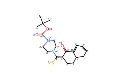 CSC(=C1CCC2CC=CC=C2C1=O)N1CCN(C(=O)OC(C)(C)C)CC1